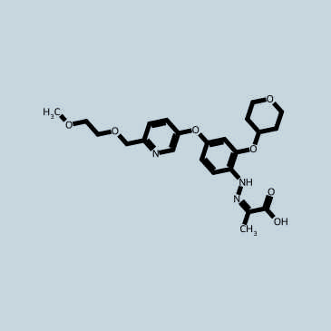 COCCOCc1ccc(Oc2ccc(NN=C(C)C(=O)O)c(OC3CCOCC3)c2)cn1